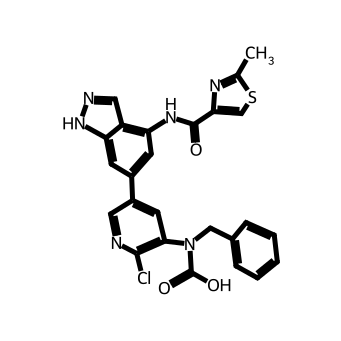 Cc1nc(C(=O)Nc2cc(-c3cnc(Cl)c(N(Cc4ccccc4)C(=O)O)c3)cc3[nH]ncc23)cs1